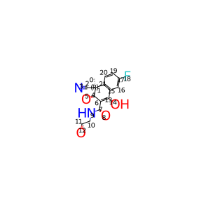 C[C@@]1(C#N)C(=O)C(C(=O)NCC=O)=C(O)c2cc(F)ccc21